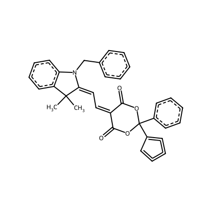 CC1(C)/C(=C\C=C2C(=O)OC(C3=C=C=C=C3)(c3ccccc3)OC2=O)N(Cc2ccccc2)c2ccccc21